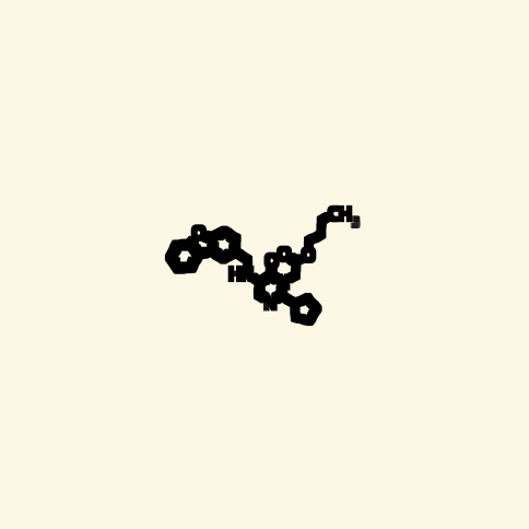 CCCCOC(=O)Cn1c(C2CCCC2)ncc(NCc2ccc3oc4ccccc4c3c2)c1=O